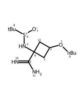 CCCCOC1CC(N[S+]([O-])C(C)(C)C)(C(=N)N)C1